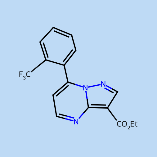 CCOC(=O)c1cnn2c(-c3ccccc3C(F)(F)F)ccnc12